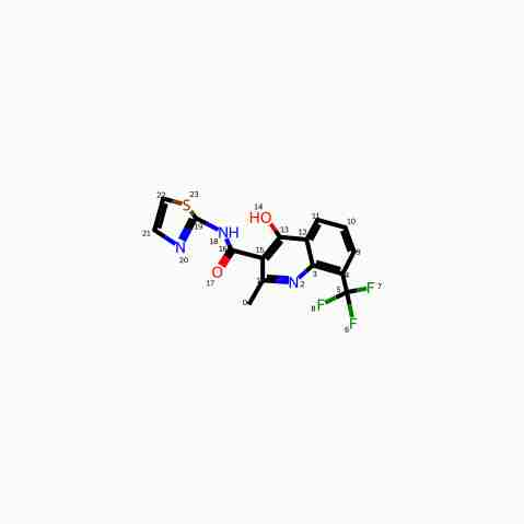 Cc1nc2c(C(F)(F)F)cccc2c(O)c1C(=O)Nc1nccs1